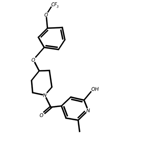 Cc1cc(C(=O)N2CCC(Oc3cccc(OC(F)(F)F)c3)CC2)cc(O)n1